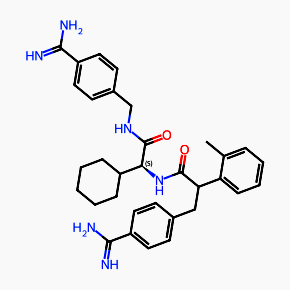 Cc1ccccc1C(Cc1ccc(C(=N)N)cc1)C(=O)N[C@H](C(=O)NCc1ccc(C(=N)N)cc1)C1CCCCC1